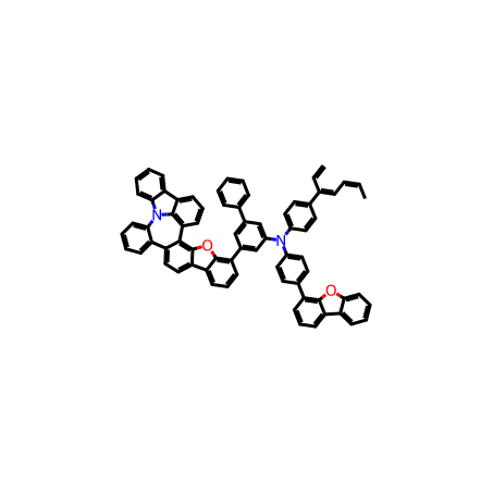 C=C/C(=C\C=C/C)c1ccc(N(c2ccc(-c3cccc4c3oc3ccccc34)cc2)c2cc(-c3ccccc3)cc(-c3cccc4c3oc3c5c(ccc34)-c3ccccc3-n3c4ccccc4c4cccc-5c43)c2)cc1